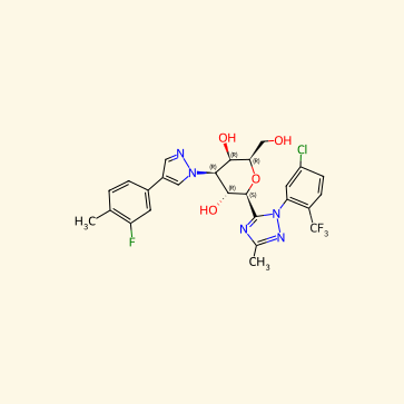 Cc1nc([C@@H]2O[C@H](CO)[C@H](O)[C@H](n3cc(-c4ccc(C)c(F)c4)cn3)[C@H]2O)n(-c2cc(Cl)ccc2C(F)(F)F)n1